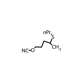 CCCSC(C)CCCOC#N